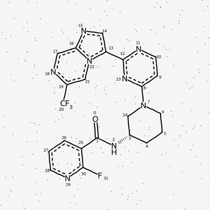 O=C(N[C@H]1CCCN(c2ccnc(-c3cnc4cnc(C(F)(F)F)cn34)n2)C1)c1cccnc1F